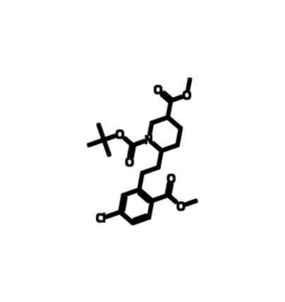 COC(=O)c1ccc(Cl)cc1CCC1CCC(C(=O)OC)CN1C(=O)OC(C)(C)C